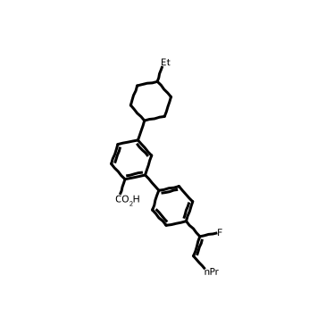 CCCC=C(F)c1ccc(-c2cc(C3CCC(CC)CC3)ccc2C(=O)O)cc1